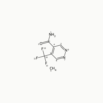 C.NC(=O)c1cnncc1C(F)(F)F